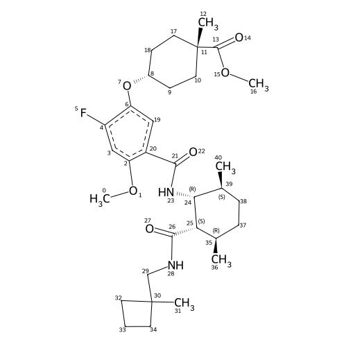 COc1cc(F)c(O[C@H]2CC[C@@](C)(C(=O)OC)CC2)cc1C(=O)N[C@H]1[C@@H](C(=O)NCC2(C)CCC2)[C@H](C)CC[C@@H]1C